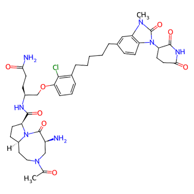 CC(=O)N1CC[C@H]2CC[C@@H](C(=O)N[C@@H](CCC(N)=O)COc3cccc(CCCCCc4ccc5c(c4)n(C)c(=O)n5C4CCC(=O)NC4=O)c3Cl)N2C(=O)[C@@H](N)C1